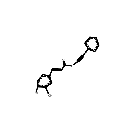 O=C(C=Cc1ccc(O)c(O)c1)OC#Cc1ccccc1